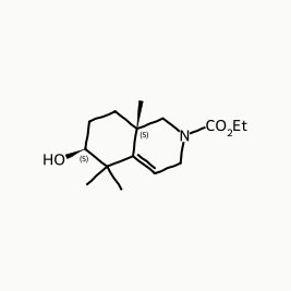 CCOC(=O)N1CC=C2C(C)(C)[C@@H](O)CC[C@]2(C)C1